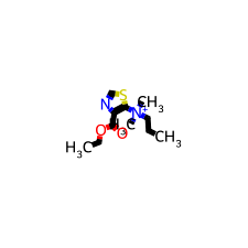 CCC[N+](C)(C)c1scnc1C(=O)OCC